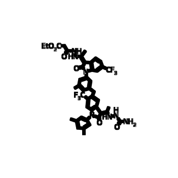 CCOC(=O)CC(=O)NN/C(C)=C1\C(=O)N(c2cc(C)cc(Cc3cc4c(cc3C(F)(F)F)N(c3cc(C)cc(C)c3)C(=O)/C4=C(/C)NNC(N)=O)c2)c2cc(C(F)(F)F)ccc21